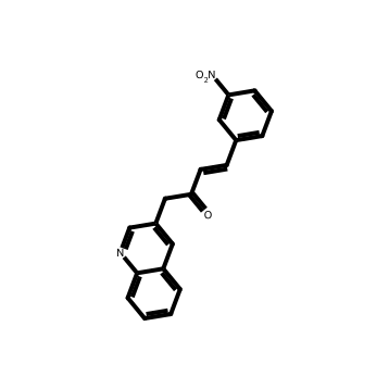 O=C(C=Cc1cccc([N+](=O)[O-])c1)Cc1cnc2ccccc2c1